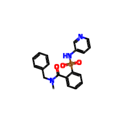 CN(Cc1ccccc1)C(=O)c1ccccc1S(=O)(=O)Nc1cccnc1